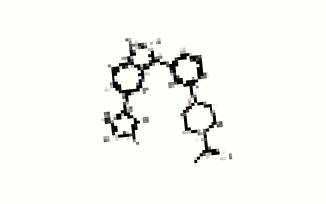 CC(=O)N1CCC(c2cccc(-c3onc4ccc(-c5nnn[nH]5)cc34)c2)CC1